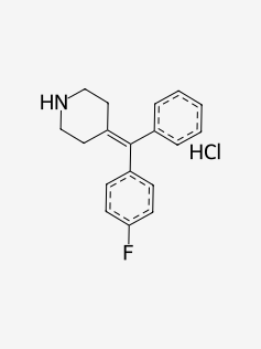 Cl.Fc1ccc(C(=C2CCNCC2)c2ccccc2)cc1